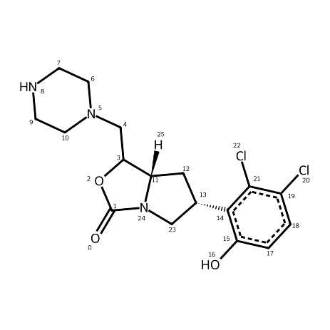 O=C1OC(CN2CCNCC2)[C@@H]2C[C@H](c3c(O)ccc(Cl)c3Cl)CN12